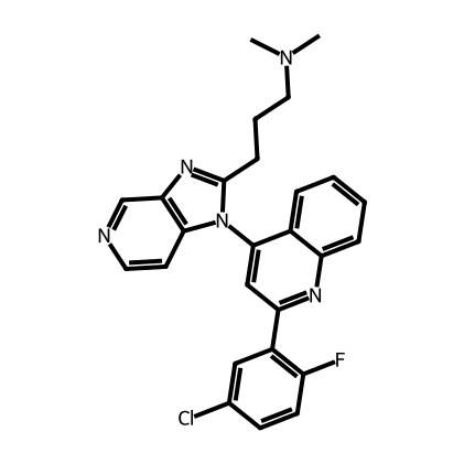 CN(C)CCCc1nc2cnccc2n1-c1cc(-c2cc(Cl)ccc2F)nc2ccccc12